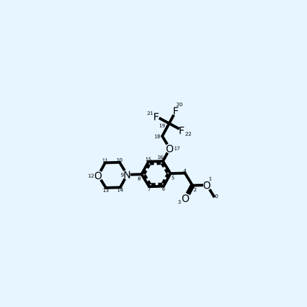 COC(=O)Cc1ccc(N2CCOCC2)cc1OCC(F)(F)F